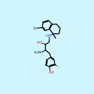 CCc1ccc2c(c1)C(C)(NCC(O)C(Cc1ccc(O)c(F)c1)NC(C)=O)CCC2